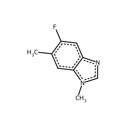 Cc1cc2c(cc1F)ncn2C